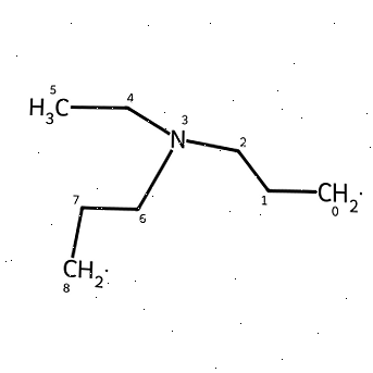 [CH2]CCN(CC)CC[CH2]